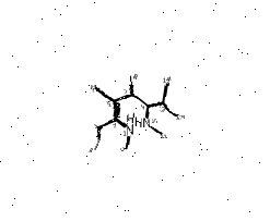 CN/C(CI)=C(/C)C(I)C(NC)C(C)C